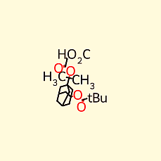 CC(C)(C)C(=O)OC12CC3CC(C1)CC(C(C)(C)OC(=O)CC(=O)O)(C3)C2